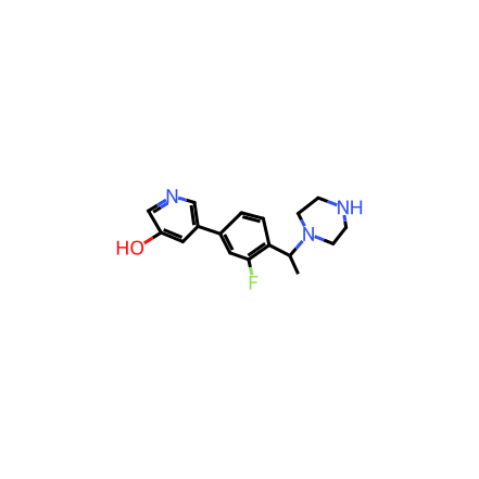 CC(c1ccc(-c2cncc(O)c2)cc1F)N1CCNCC1